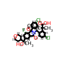 CO[C@]1(c2ccc(Cl)cc2)c2c(F)cc([C@@](C)(O)C3CCOCC3)cc2C(=O)N1Cc1ccc(Cl)cc1C(C)(C)C(=O)O